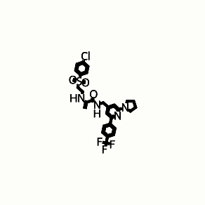 C=C(NCCS(=O)(=O)c1ccc(Cl)cc1)C(=O)NCc1cc(-c2ccc(C(F)(F)F)cc2)nc(N2CCCC2)c1